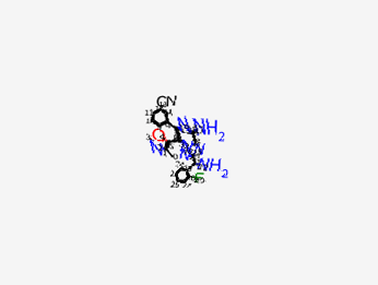 Cc1ncoc1-c1c(-c2cccc(C#N)c2)nc(N)c2nc(C(N)c3ccccc3F)nn12